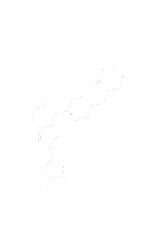 Cc1cc(-c2ncnn3cc(-c4cnn(C)c4)cc23)ccc1CN1CCNC(C)C1=O